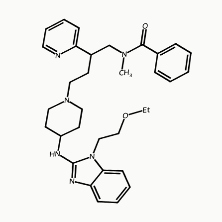 CCOCCn1c(NC2CCN(CCC(CN(C)C(=O)c3ccccc3)c3ccccn3)CC2)nc2ccccc21